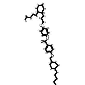 CCCCCC1CCC(COc2ccc(C(=O)Oc3ccc(OCCCC4CCCCC4CCCCC)cc3)cc2)CC1